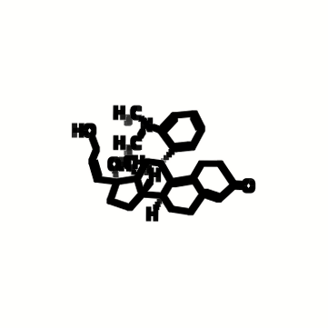 CN(C)c1ccccc1[C@H]1C[C@@]2(C)[C@@H](CC[C@@]2(O)/C=C\CO)[C@@H]2CCC3=CC(=O)CCC3=C21